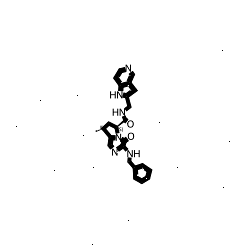 C[C@@H]1C[C@@H](C(=O)NCc2cc3cnccc3[nH]2)n2c1cnc(NCc1ccccc1)c2=O